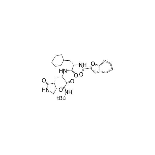 CC(C)(C)NC(=O)C(=O)[C@H](C[C@@H]1CCNC1=O)NC(=O)[C@H](CC1CCCCC1)NC(=O)c1cc2ccccc2o1